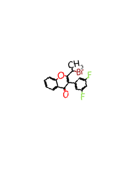 CC(Br)c1oc2ccccc2c(=O)c1-c1cc(F)cc(F)c1